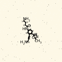 Cc1nnc(-c2ccc(NC(=O)CCCN)cc2C#CCN)o1